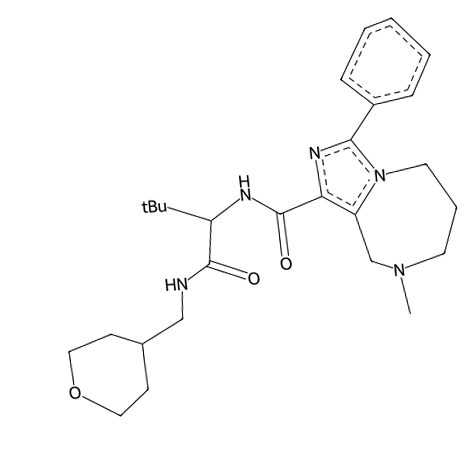 CN1CCCn2c(-c3ccccc3)nc(C(=O)NC(C(=O)NCC3CCOCC3)C(C)(C)C)c2C1